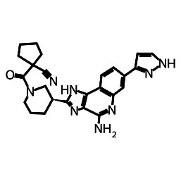 N#CC1(C(=O)N2CCC[C@H](c3nc4c(N)nc5cc(-c6cc[nH]n6)ccc5c4[nH]3)C2)CCCC1